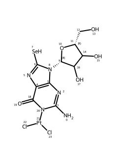 Nc1nc2c(nc([SeH])n2[C@@H]2O[C@H](CO)C(O)C2O)c(=O)[n]1[Pt]([Cl])[Cl]